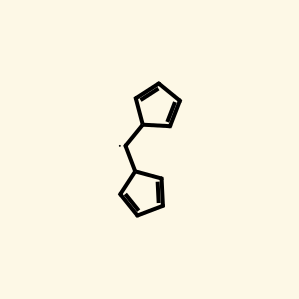 [CH](C1C=CC=C1)C1C=CC=C1